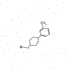 Cc1cccc(C2CCC(CBr)CC2)c1